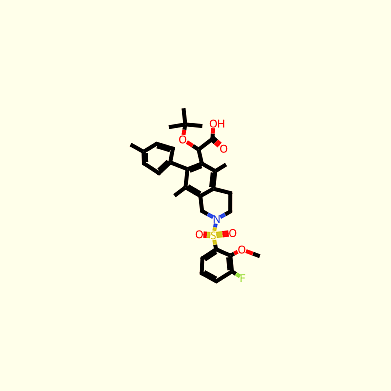 COc1c(F)cccc1S(=O)(=O)N1CCc2c(C)c(C(OC(C)(C)C)C(=O)O)c(-c3ccc(C)cc3)c(C)c2C1